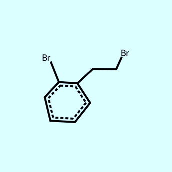 BrC[CH]c1ccccc1Br